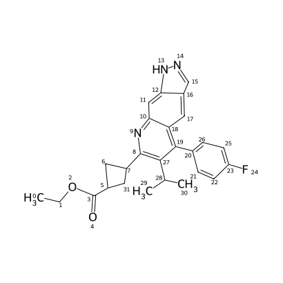 CCOC(=O)C1CC(c2nc3cc4[nH]ncc4cc3c(-c3ccc(F)cc3)c2C(C)C)C1